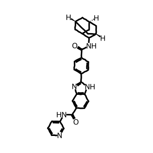 O=C(Nc1cccnc1)c1ccc2[nH]c(-c3ccc(C(=O)NC4C5C[C@H]6C[C@@H](C5)C[C@@H]4C6)cc3)nc2c1